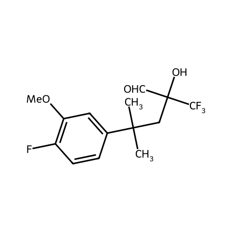 COc1cc(C(C)(C)CC(O)(C=O)C(F)(F)F)ccc1F